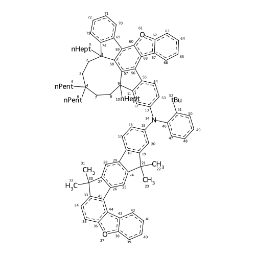 CCCCCCCC12CCC(CCCCC)(CCCCC)CCC3(CCCCCCC)c4cc(N(c5ccc6c(c5)C(C)(C)c5cc7c(cc5-6)C(C)(C)c5ccc6oc8ccccc8c6c5-7)c5ccccc5C(C)(C)C)ccc4-c4c3c1c(c1oc3ccccc3c41)-c1ccccc12